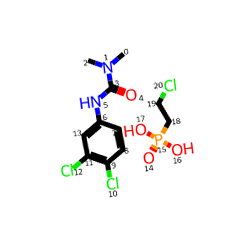 CN(C)C(=O)Nc1ccc(Cl)c(Cl)c1.O=P(O)(O)CCCl